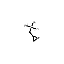 CC(C)[N+](CC1CO1)(C(C)C)C(C)C